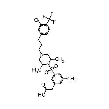 Cc1cc(CC(=O)O)cc(S(=O)(=O)N2C(C)CN(CCCc3ccc(C(F)(F)F)c(Cl)c3)CC2C)c1